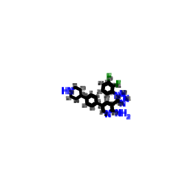 Nc1ncc(-c2ccc(C3CCNCC3)cc2)cc1-c1nnnn1-c1cccc(F)c1F